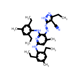 CCc1cc(C)cc(CC)c1Nc1cc(C)c(N=Nc2[nH]nc(CC)c2C#N)c(Nc2c(CC)cc(C)cc2CC)n1